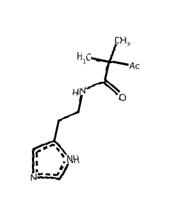 CC(=O)C(C)(C)C(=O)NCCc1cnc[nH]1